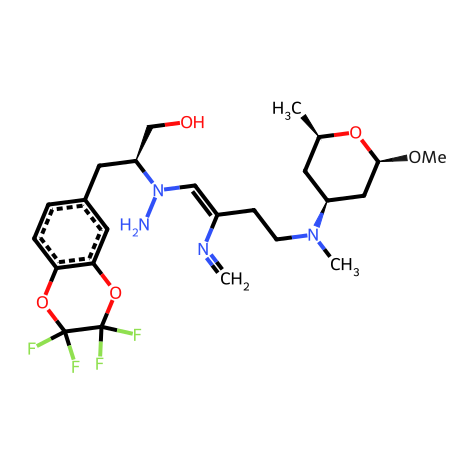 C=N/C(=C\N(N)[C@H](CO)Cc1ccc2c(c1)OC(F)(F)C(F)(F)O2)CCN(C)[C@@H]1C[C@H](OC)O[C@H](C)C1